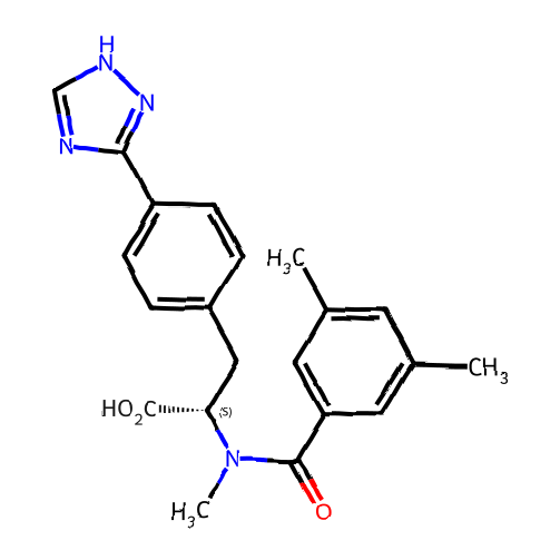 Cc1cc(C)cc(C(=O)N(C)[C@@H](Cc2ccc(-c3nc[nH]n3)cc2)C(=O)O)c1